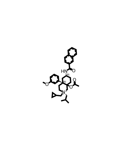 COc1cccc([C@]23CC[N@+](CC(C)C)(CC4CC4)CC2(OC(C)=O)CC[C@@H](NC(=O)c2ccc4ccccc4c2)C3)c1